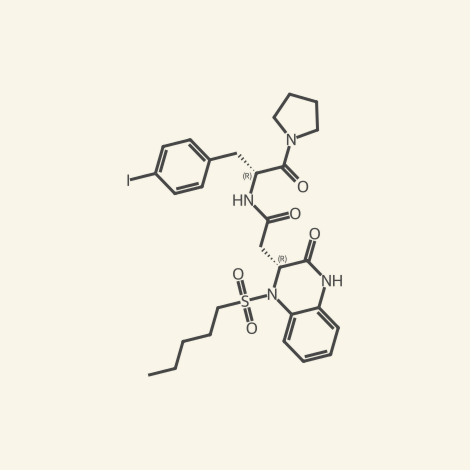 CCCCCS(=O)(=O)N1c2ccccc2NC(=O)[C@H]1CC(=O)N[C@H](Cc1ccc(I)cc1)C(=O)N1CCCC1